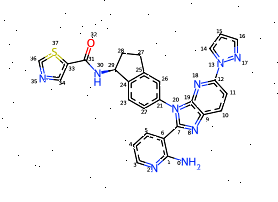 Nc1ncccc1-c1nc2ccc(-n3cccn3)nc2n1-c1ccc2c(c1)CC[C@@H]2NC(=O)c1cncs1